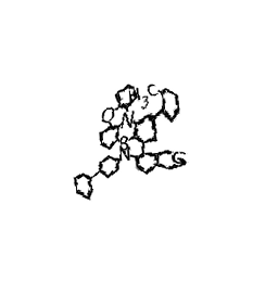 Cc1ccccc1-c1cc2c3c(c1)N1c4ccccc4Oc4cccc(c41)B3N(c1ccc(-c3ccccc3)cc1)c1ccc3ccccc3c1-2